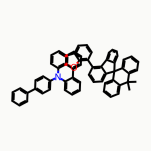 CC1(C)c2ccccc2C2(c3ccccc3-c3c(-c4cccc5c4oc4c(N(c6ccc(-c7ccccc7)cc6)c6ccccc6-c6ccccc6)cccc45)cccc32)c2ccccc21